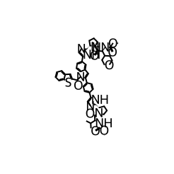 COC(=O)N[C@H](C(=O)N1CCC[C@H]1c1ncc(-c2ccc3c(c2)OC(c2cc4ccccc4s2)n2c-3cc3cc(-c4cnc([C@@H]5CCCN5C(=O)[C@@H](NC(=O)OC)C5CCOCC5)[nH]4)ccc32)[nH]1)C(C)C